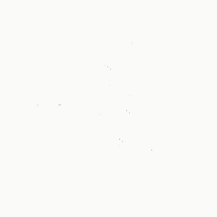 Cc1ccc(-n2cc(-c3cccs3)nc2-c2ccc(I)cc2)cn1